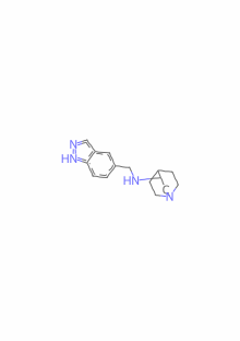 c1cc2[nH]ncc2cc1CNC1CN2CCC1CC2